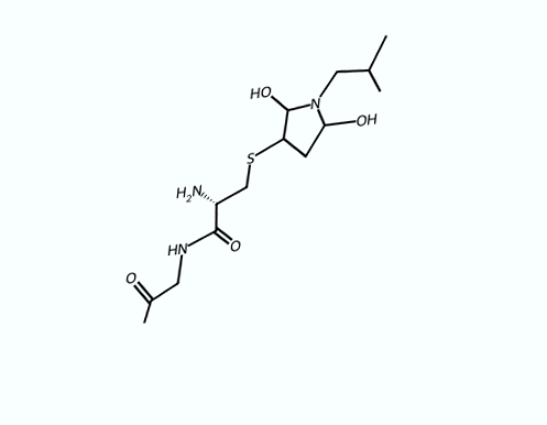 CC(=O)CNC(=O)[C@H](N)CSC1CC(O)N(CC(C)C)C1O